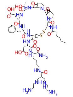 CCCCCC(=O)N[C@H]1CSSC[C@@H](C(=O)N[C@@H](CC(=O)O)C(=O)N[C@@H](CCCCNC(=O)C(CNCCN)CNCCN)C(N)=O)NC(=O)[C@H](Cc2ccccc2)NC(=O)[C@H](CCC(=O)O)NC(=O)[C@H]([C@@H](C)O)NC(=O)[C@@H]2CCCN2C(=O)[C@@H]2CCCN2C1=O